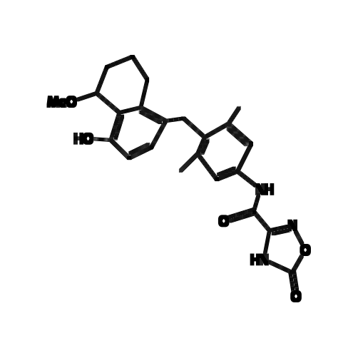 COC1CCCc2c(Cc3c(C)cc(NC(=O)c4noc(=O)[nH]4)cc3C)ccc(O)c21